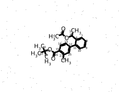 CC(=O)OC(C)c1ccccc1-c1ccc(C(=O)OC(C)(C)C)c(C)c1